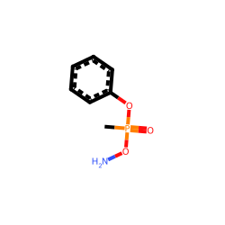 CP(=O)(ON)Oc1ccccc1